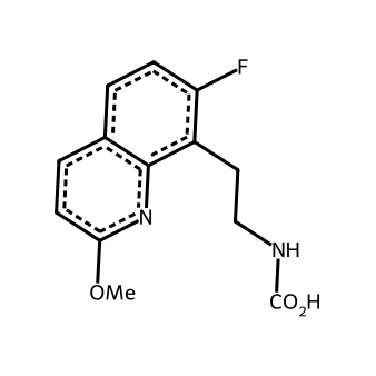 COc1ccc2ccc(F)c(CCNC(=O)O)c2n1